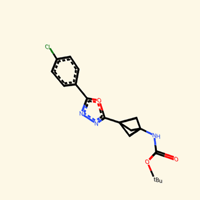 CC(C)(C)OC(=O)NC12CC(c3nnc(-c4ccc(Cl)cc4)o3)(C1)C2